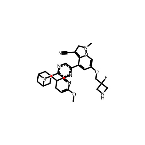 COC1=CCC(CN2C3CC2CN(c2cnc(C4=CC(OCC5(F)CNC5)=CN5C4=C(C#N)CN5C)cn2)C3)C=N1